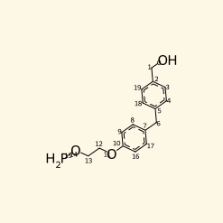 OCc1ccc(Cc2ccc(OCCOP)cc2)cc1